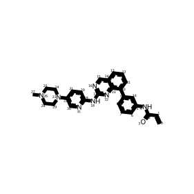 C=CC(=O)Nc1cccc(-c2cccc3cnc(Nc4ccc(N5CCN(C)CC5)cn4)nc23)c1